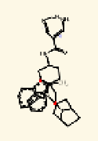 C/N=C\C(=C/N)C(=O)NC1CCC(CCN2C3CCC2CC(n2c(C)nc4ccccc42)C3)(c2ccccc2)CC1